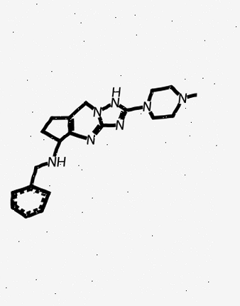 CN1CCN(C2=NC3=NC4=C(CCC4NCc4ccccc4)CN3N2)CC1